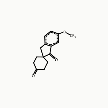 O=C1CCC2(CC1)Cc1ccc(OC(F)(F)F)cc1C2=O